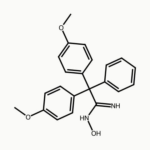 COc1ccc(C(C(=N)NO)(c2ccccc2)c2ccc(OC)cc2)cc1